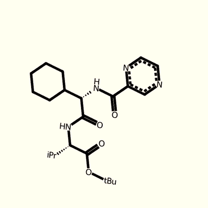 CC(C)[C@H](NC(=O)[C@@H](NC(=O)c1cnccn1)C1CCCCC1)C(=O)OC(C)(C)C